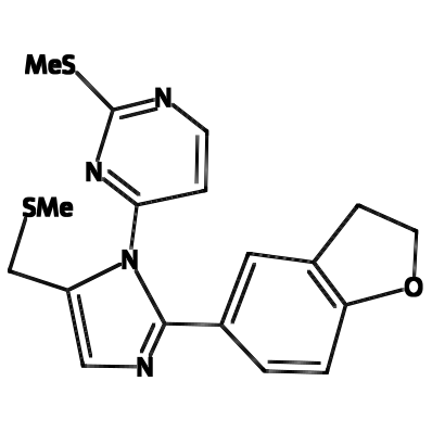 CSCc1cnc(-c2ccc3c(c2)CCO3)n1-c1ccnc(SC)n1